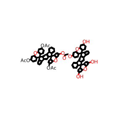 CC(=O)Oc1ccc2c(c1)Oc1cc(OC(C)=O)ccc1C21c2ccccc2-c2cc3c(cc21)-c1ccccc1C31c2ccc(OC(C)=O)cc2Oc2cc(OC(=O)COc3ccc4c(c3)Oc3cc(O)ccc3C43c4ccccc4-c4cc5c(cc43)-c3ccccc3C53c4ccc(O)cc4Oc4cc(O)ccc43)ccc21